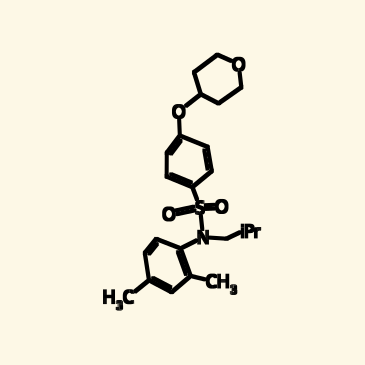 Cc1ccc(N(CC(C)C)S(=O)(=O)c2ccc(OC3CCOCC3)cc2)c(C)c1